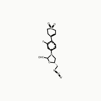 [N-]=[N+]=NC[C@H]1CN(c2ccc(C3=CCS(=O)(=O)CC3)c(F)c2)C(C=O)O1